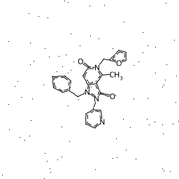 Cc1c2c(=O)n(-c3cccnc3)n(Cc3ccccc3)c2cc(=O)n1Cc1ccco1